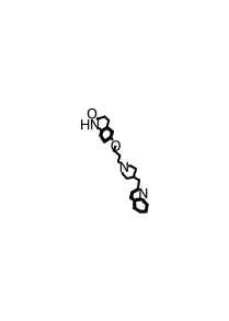 O=C1CCc2cc(OCCCN3CCC(Cc4ccc5ccccc5n4)CC3)ccc2N1